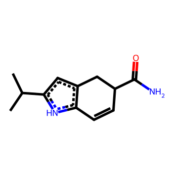 CC(C)c1cc2c([nH]1)C=CC(C(N)=O)C2